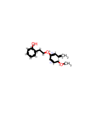 C=C/C=C(\C=C/COC)OCCc1ccccc1O